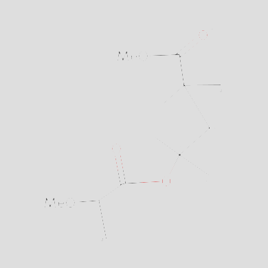 COC(=O)C(C)(C)CC(C)(C)OC(=O)C(C)OC